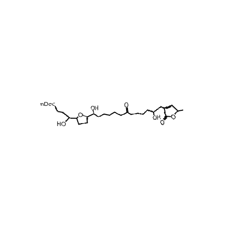 CCCCCCCCCCCCC(O)C1CCC(C(O)CCCCCC(=O)CCCCC(O)CC2=CC(C)OC2=O)O1